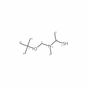 CC(S)N(C)COC(C)(C)C